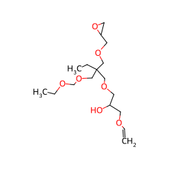 C=COCC(O)COCC(CC)(COCOCC)COCC1CO1